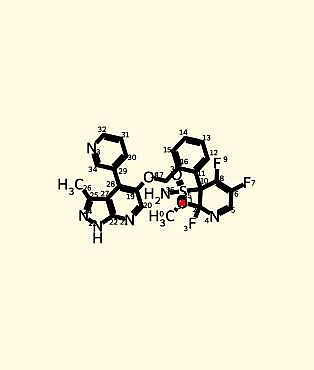 COC1(F)N=CC(F)=C(F)C1(c1ccccc1COc1cnc2[nH]nc(C)c2c1-c1cccnc1)S(N)(=O)=O